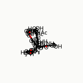 CC(=O)N[C@H]1[C@H](OCCCCCC(=O)NCCCNC(=O)CCC(CCC(=O)NCCCNC(=O)CCCCCO[C@@H]2O[C@H](CO)[C@H](O)[C@H](O)[C@H]2NC(C)=O)(CCC(=O)NCCCNC(=O)CCCCCO[C@@H]2O[C@H](CO)CC[C@H]2NC(C)=O)NC(=O)CCC(=O)O[C@@H]2C(C(C)C)C[C@@H]3O[C@@]34[C@@]3(C)CCC5=C(COC5=O)C3CO[C@]24C)O[C@H](CO)[C@H](O)[C@@H]1O